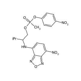 CC(C)C(COP(C)(=O)Oc1ccc([N+](=O)[O-])cc1)Nc1ccc([N+](=O)[O-])c2nonc12